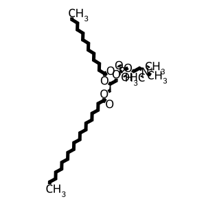 CCCCCCCCCCCCCCCCCCC(=O)OC[C@H](COP(=O)(O)OCC[N+](C)(C)C)OC(=O)CCCCCCCCCCCC